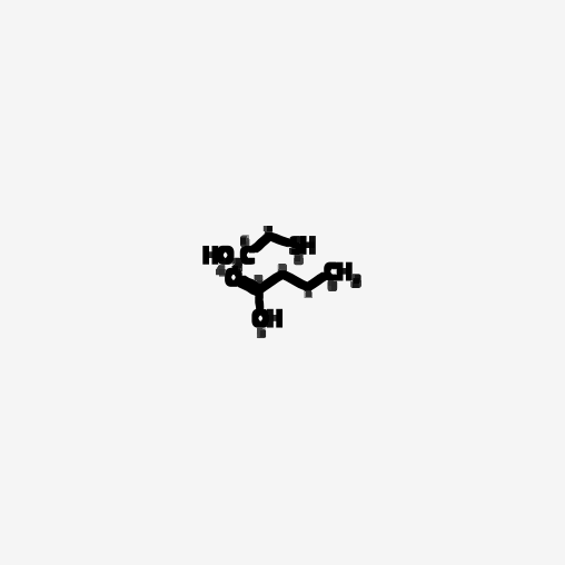 CCCC(=O)O.O=C(O)CS